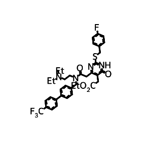 CCOC(=O)Cc1c(CC(=O)N(CCN(CC)CC)Cc2ccc(-c3ccc(C(F)(F)F)cc3)cc2)nc(SCc2ccc(F)cc2)[nH]c1=O